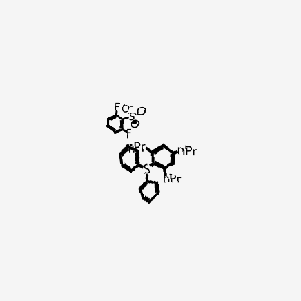 CCCc1cc(CCC)c([S+](c2ccccc2)c2ccccc2)c(CCC)c1.O=S(=O)([O-])c1c(F)cccc1F